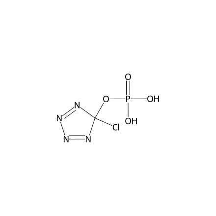 O=P(O)(O)OC1(Cl)N=NN=N1